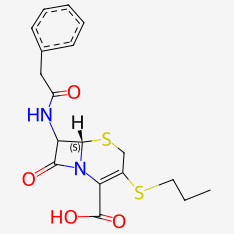 CCCSC1=C(C(=O)O)N2C(=O)C(NC(=O)Cc3ccccc3)[C@@H]2SC1